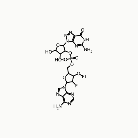 CCOC1C(COP(=O)(O)OC2C(O)C(O)OC2n2nnc3c(=O)[nH]c(N)nc32)OC(n2cnc3c(N)ncnc32)C1F